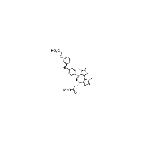 COC(=O)CC[C@@H]1N=C(c2ccc(Nc3cccc(OCC(=O)O)c3)cc2)c2c(sc(C)c2C)-n2c(C)nnc21